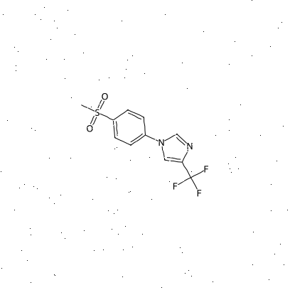 CS(=O)(=O)c1ccc(-n2cnc(C(F)(F)F)c2)cc1